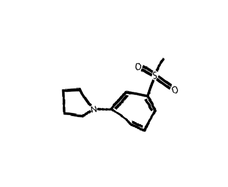 CS(=O)(=O)c1cccc(N2CCCC2)c1